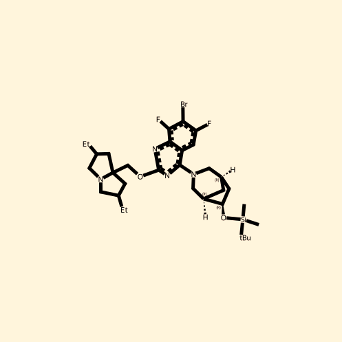 CCC1CN2CC(CC)CC2(COc2nc(N3C[C@@H]4C[C@H](C3)[C@H](O[Si](C)(C)C(C)(C)C)C4)c3cc(F)c(Br)c(F)c3n2)C1